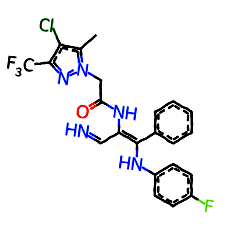 Cc1c(Cl)c(C(F)(F)F)nn1CC(=O)N/C(C=N)=C(/Nc1ccc(F)cc1)c1ccccc1